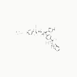 COc1ccc(NC(=O)[C@H]2O[C@@H]2C(=O)N(Cc2ccc(F)cc2)c2ccc(C(=O)Nc3nc4ccccc4s3)cc2)cc1